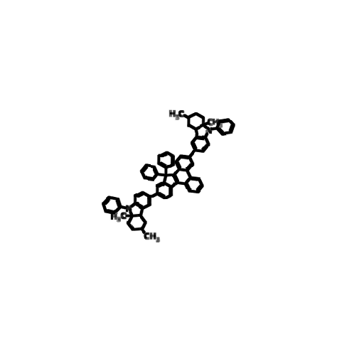 CC1CCC2(C)C(C1)c1cc(-c3ccc4c(c3)C(c3ccccc3)(c3ccccc3)c3c-4c4ccccc4c4cc(-c5ccc6c(c5)C5CC(C)CCC5(C)N6c5ccccc5)ccc34)ccc1N2c1ccccc1